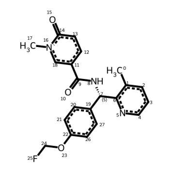 Cc1cccnc1[C@@H](NC(=O)c1ccc(=O)n(C)c1)c1ccc(OCF)cc1